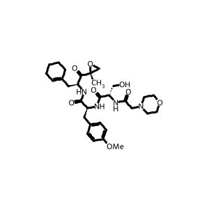 COc1ccc(C[C@H](NC(=O)[C@H](CO)NC(=O)CN2CCOCC2)C(=O)N[C@@H](CC2=CCCCC2)C(=O)[C@@]2(C)CO2)cc1